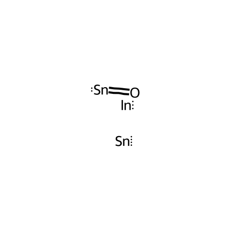 [In].[O]=[Sn].[Sn]